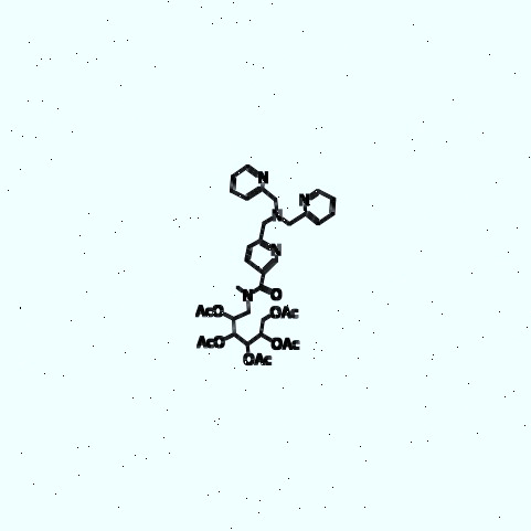 CC(=O)OCC(OC(C)=O)C(OC(C)=O)C(OC(C)=O)C(CN(C)C(=O)c1ccc(CN(Cc2ccccn2)Cc2ccccn2)nc1)OC(C)=O